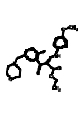 CCOC(=O)/C(=C\Nc1ccc(OC)cc1)C(=O)c1cc(CN2CCOCC2)ccc1F